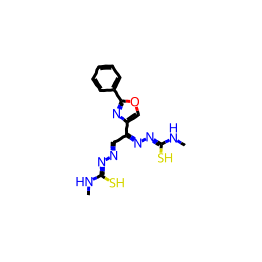 CN/C(S)=N/N=C/C(=N/N=C(\S)NC)c1coc(-c2ccccc2)n1